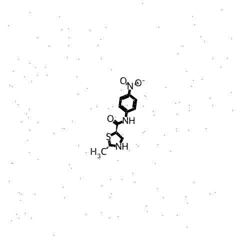 C[C@H]1NC[C@H](C(=O)Nc2ccc([N+](=O)[O-])cc2)S1